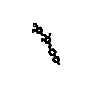 Cc1ccc(C2CCC(CCc3cc(F)c(CCc4ccc(Cl)c(F)c4)c(F)c3)CC2)cc1